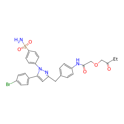 CCC(=O)COCC(=O)Nc1ccc(Cc2cc(-c3ccc(Br)cc3)n(-c3ccc(S(N)(=O)=O)cc3)n2)cc1